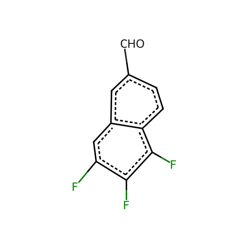 O=Cc1ccc2c(F)c(F)c(F)cc2c1